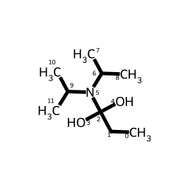 CCC(O)(O)N(C(C)C)C(C)C